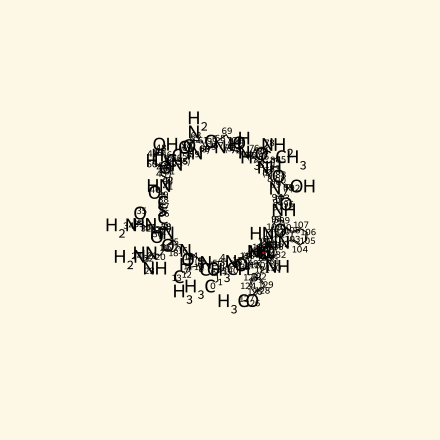 CCCC[C@H]1C(=O)N(C)[C@@H](CCCC)C(=O)NC(CCCNC(=N)N)C(=O)N[C@H](C(=O)NCC(N)=O)CSCC(=O)N[C@@H](Cc2ccc(O)cc2)C(=O)N(C)[C@@H](C)C(=O)N[C@@H](CC(N)=O)C(=O)N2CCC[C@H]2C(=O)N[C@@H](CCN)C(=O)N[C@@H](CC(C)C)C(=O)N2C[C@H](O)CC2C(=O)N[C@@H](Cc2c[nH]c3ccccc23)C(=O)N[C@@H](CO)C(=O)N[C@@H](Cc2c(-c3ccc(OC)cc3)[nH]c3ccccc23)C(=O)N1C